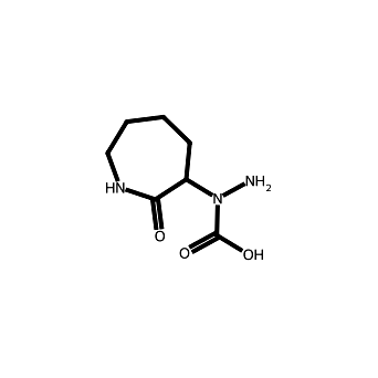 NN(C(=O)O)C1CCCCNC1=O